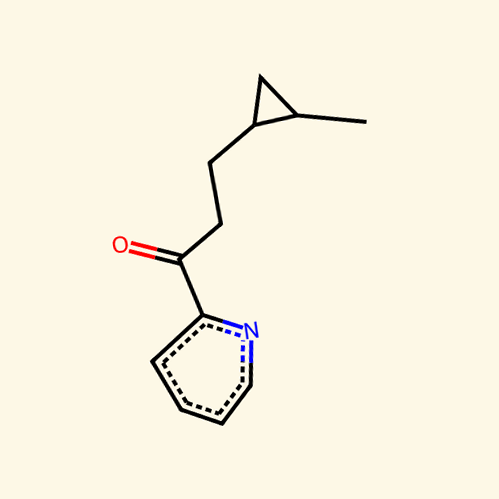 CC1CC1CCC(=O)c1ccccn1